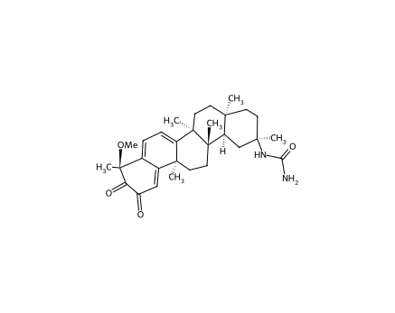 CO[C@]1(C)C(=O)C(=O)C=C2C1=CC=C1[C@@]2(C)CC[C@@]2(C)[C@@H]3C[C@](C)(NC(N)=O)CC[C@]3(C)CC[C@]12C